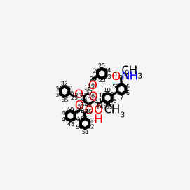 CNC(=O)c1cccc(-c2ccc(C(O)[C@H]3O[C@@H](COCc4ccccc4)[C@@H](OCc4ccccc4)[C@@H](OCc4ccccc4)[C@@H]3OCc3ccccc3)c(C)c2)c1